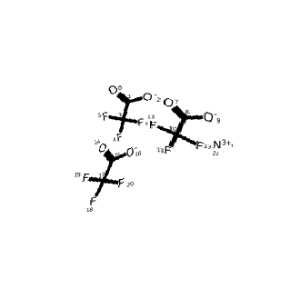 O=C([O-])C(F)(F)F.O=C([O-])C(F)(F)F.O=C([O-])C(F)(F)F.[N+3]